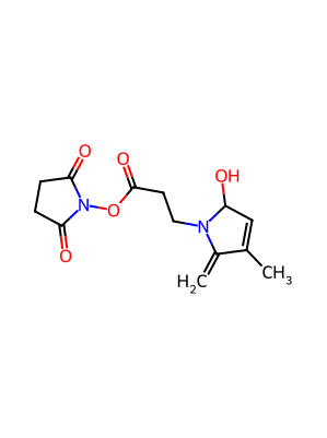 C=C1C(C)=CC(O)N1CCC(=O)ON1C(=O)CCC1=O